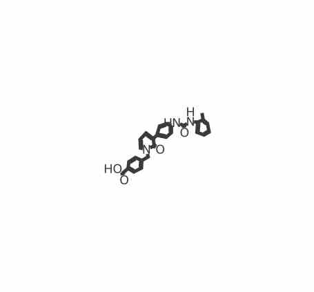 Cc1ccccc1NC(=O)Nc1ccc(-c2cccn(Cc3ccc(C(=O)O)cc3)c2=O)cc1